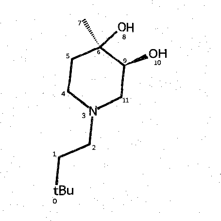 CC(C)(C)CCN1CC[C@@](C)(O)[C@@H](O)C1